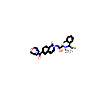 CC(C)(C)C1c2ccccc2C[C@@H]([C@H](O)Cn2ccc3cc(C(=O)N4C5CCC4COC5)ccc3c2=O)N1C(=O)O